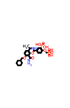 CC(NC(=O)c1ccc(OCP(=O)(O)O)c(P(=O)(O)O)c1)c1ccc(OCC2CCCCC2)c(C(N)=O)c1